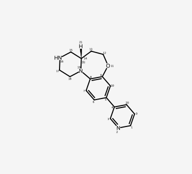 c1cncc(-c2ccc3c(c2)OCC[C@H]2CNCCN32)c1